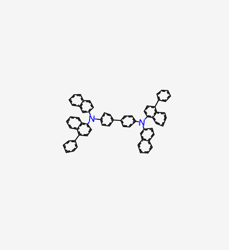 c1ccc(-c2ccc(N(c3ccc(-c4ccc(N(c5ccc6ccccc6c5)c5ccc(-c6ccccc6)c6ccccc56)cc4)cc3)c3ccc4ccccc4c3)c3ccccc23)cc1